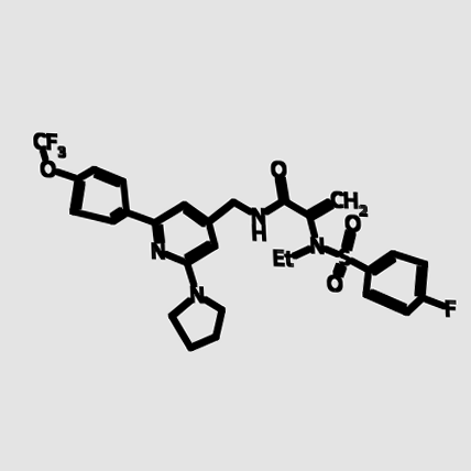 C=C(C(=O)NCc1cc(-c2ccc(OC(F)(F)F)cc2)nc(N2CCCC2)c1)N(CC)S(=O)(=O)c1ccc(F)cc1